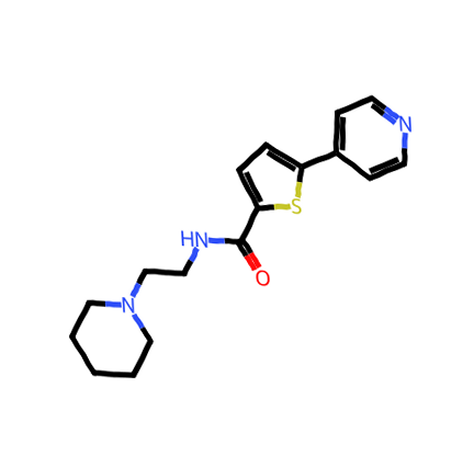 O=C(NCCN1CCCCC1)c1ccc(-c2ccncc2)s1